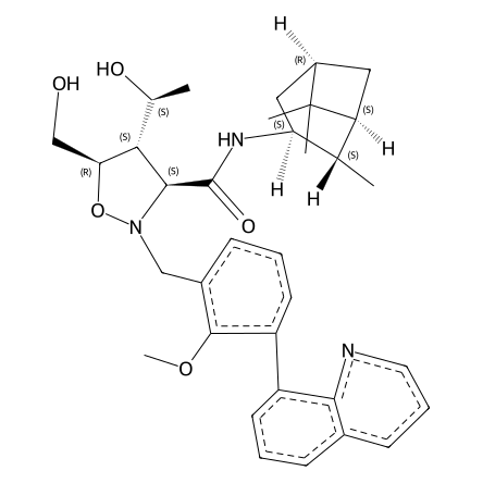 COc1c(CN2O[C@@H](CO)[C@H]([C@H](C)O)[C@H]2C(=O)N[C@H]2C[C@H]3C[C@@H]([C@@H]2C)C3(C)C)cccc1-c1cccc2cccnc12